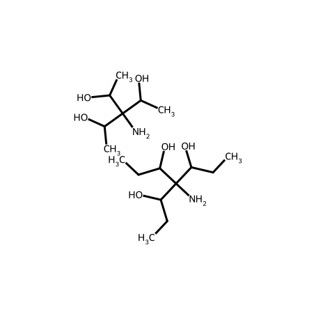 CC(O)C(N)(C(C)O)C(C)O.CCC(O)C(N)(C(O)CC)C(O)CC